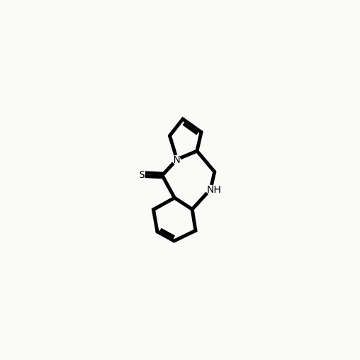 S=C1C2CC=CCC2NCC2C=CCN12